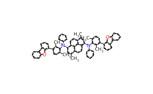 Cc1ccc(-c2cccc3c2oc2ccccc23)c(C)c1N(c1ccccc1)c1cc(C)c2ccc3c(N(c4ccccc4)c4c(C)ccc(-c5cccc6c5oc5ccccc56)c4C)cc(C)c4ccc1c2c43